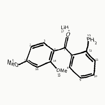 COc1ccc(C(=O)c2ccccc2P)c(OC)c1.[LiH]